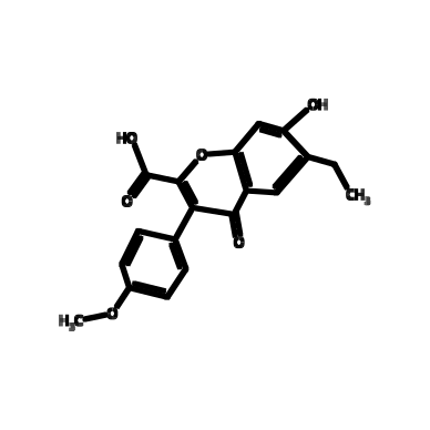 CCc1cc2c(=O)c(-c3ccc(OC)cc3)c(C(=O)O)oc2cc1O